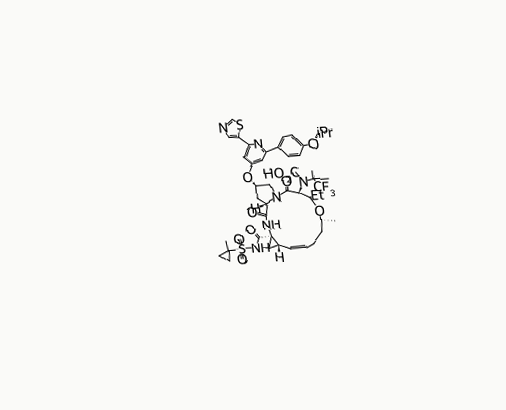 CC[C@@H]1O[C@H](C)CCC=C[C@@H]2C[C@@]2(C(=O)NS(=O)(=O)C2(C)CC2)NC(=O)[C@@H]2C[C@@H](Oc3cc(-c4ccc(OC(C)C)cc4)nc(-c4cncs4)c3)CN2C(=O)[C@H]1N(C(=O)O)C(C)(C)C(F)(F)F